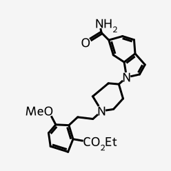 CCOC(=O)c1cccc(OC)c1CCN1CCC(n2ccc3ccc(C(N)=O)cc32)CC1